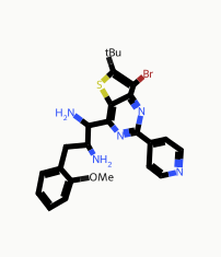 COc1ccccc1CC(N)C(N)c1nc(-c2ccncc2)nc2c(Br)c(C(C)(C)C)sc12